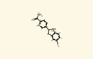 NC(=O)c1ccc(C2Cc3cc(F)ccc3N2)cn1